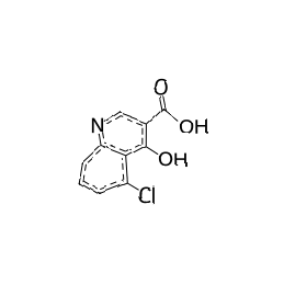 O=C(O)c1cnc2cccc(Cl)c2c1O